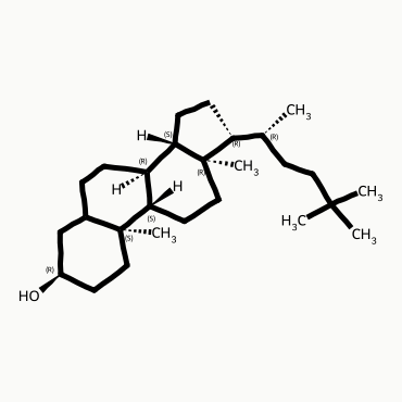 C[C@H](CCC(C)(C)C)[C@H]1CC[C@H]2[C@@H]3CCC4C[C@H](O)CC[C@]4(C)[C@H]3CC[C@]12C